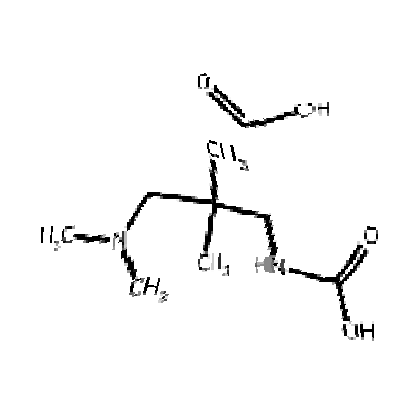 CN(C)CC(C)(C)CNC(=O)O.O=CO